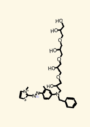 Cc1cc(N(Cc2ccccc2)CC(O)COCC(O)COCC(O)COCC(O)CO)ccc1/N=N/c1scc[n+]1C